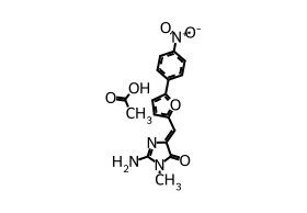 CC(=O)O.CN1C(=O)/C(=C/c2ccc(-c3ccc([N+](=O)[O-])cc3)o2)N=C1N